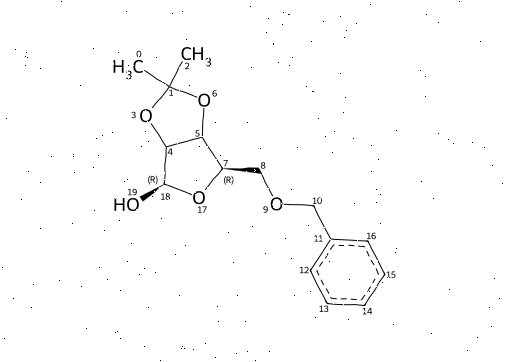 CC1(C)OC2C(O1)[C@@H](COCc1ccccc1)O[C@H]2O